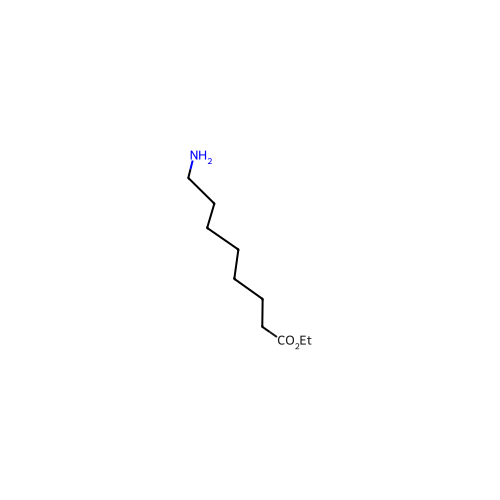 CCOC(=O)CCCCCCCN